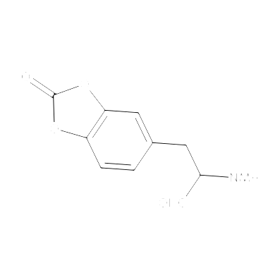 CNC(C=O)Cc1ccc2oc(=O)oc2c1